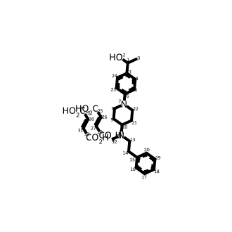 CC(O)c1ccc(N2CCC(N(C)CCc3ccccc3)CC2)cc1.O=C(O)C=CC(=O)O.O=C(O)C=CC(=O)O